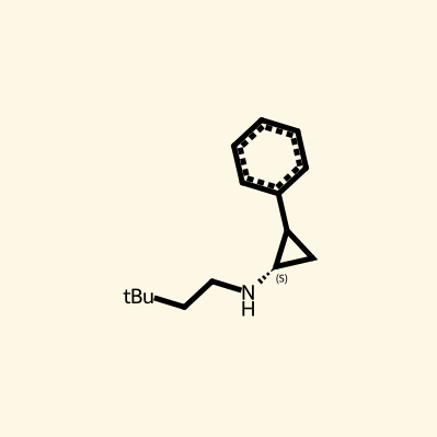 CC(C)(C)CCN[C@H]1CC1c1ccccc1